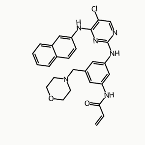 C=CC(=O)Nc1cc(CN2CCOCC2)cc(Nc2ncc(Cl)c(Nc3ccc4ccccc4c3)n2)c1